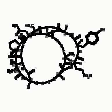 C[C@@H]1NC(=O)[C@@H]2CCCN2C(=O)[C@H](CC(N)=O)NC(=O)[C@@H]2CSSC[C@H](N)C(=O)N[C@H]3CSSC[C@H](NC1=O)C(=O)N[C@@H]([C@@H](C)O)C(=O)NCC(=O)N[C@H](C(=O)O)CSSC[C@H](NC(=O)[C@H](Cc1ccc(O)cc1)NC(=O)[C@H](CCC(=O)O)NC3=O)C(=O)N2